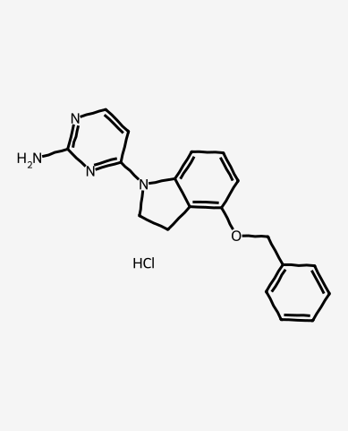 Cl.Nc1nccc(N2CCc3c(OCc4ccccc4)cccc32)n1